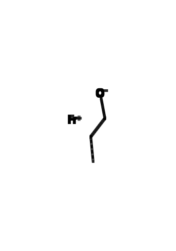 CCC[O-].[Fr+]